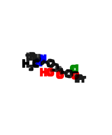 CC(C)Oc1ccc(C(=O)C[C@H](CCO)Cc2ccc(-c3cn(C)c(C(C)(C)C)n3)cc2)cc1Cl